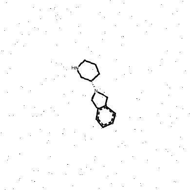 c1ccc2c(c1)CN([C@H]1CCCNC1)C2